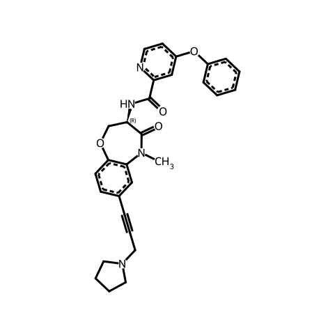 CN1C(=O)[C@H](NC(=O)c2cc(Oc3ccccc3)ccn2)COc2ccc(C#CCN3CCCC3)cc21